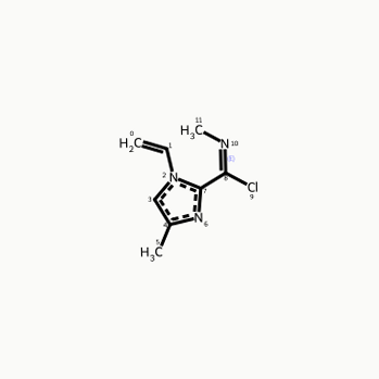 C=Cn1cc(C)nc1/C(Cl)=N\C